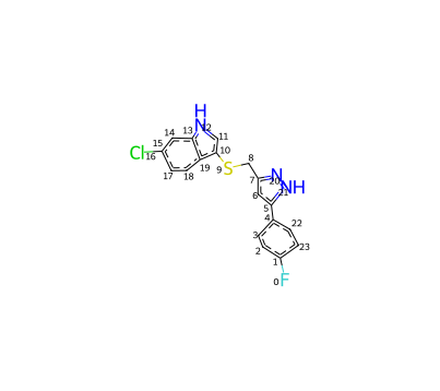 Fc1ccc(-c2cc(CSc3c[nH]c4cc(Cl)ccc34)n[nH]2)cc1